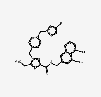 COCc1nc(C(=O)NCc2cc(OC)c3c(N)nccc3c2)nn1Cc1ccc(Cn2cc(F)cn2)cc1